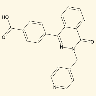 O=C(O)c1ccc(-c2nn(Cc3ccncc3)c(=O)c3ncccc23)cc1